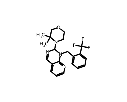 CC1(C)COCCN1C1N=Cc2cccnc2N1Cc1ccccc1C(F)(F)F